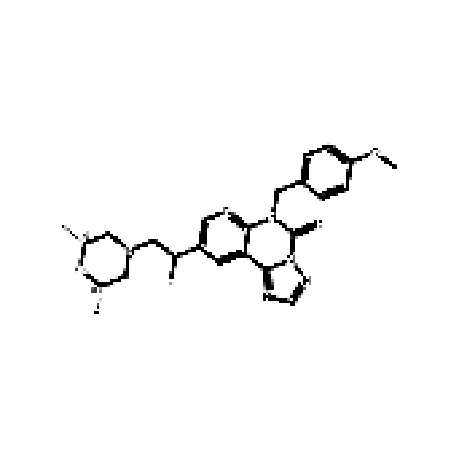 COc1ccc(Cn2c(=O)n3ncnc3c3cc(C(F)CN4C[C@@H](C)O[C@@H](C)C4)cnc32)cc1